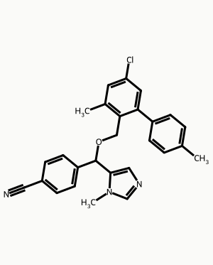 Cc1ccc(-c2cc(Cl)cc(C)c2COC(c2ccc(C#N)cc2)c2cncn2C)cc1